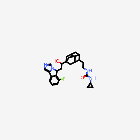 O=C(NCCC1C2CC3CC1CC(C(O)CC1c4c(F)cccc4-c4cncn41)(C3)C2)NC1CC1